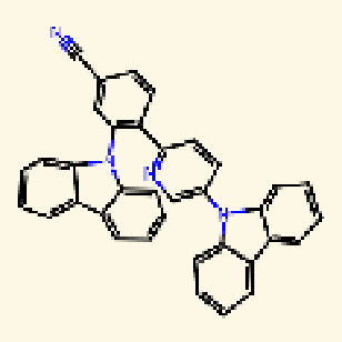 N#Cc1ccc(-c2ccc(-n3c4ccccc4c4ccccc43)cn2)c(-n2c3ccccc3c3ccccc32)c1